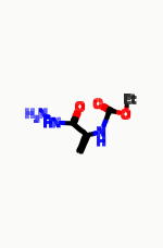 C=C(NC(=O)OCC)C(=O)NN